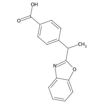 CC(c1ccc(C(=O)O)cc1)c1nc2ccccc2o1